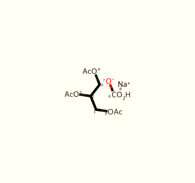 CC(=O)OCC(COC(C)=O)OC(C)=O.O=C([O-])O.[Na+]